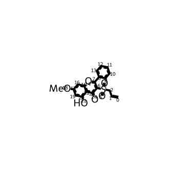 C=CCS(=O)(=O)c1c(-c2ccccc2)oc2cc(OC)cc(O)c2c1=O